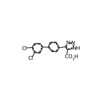 O=C(O)c1[nH]nnc1-c1ccc(-c2ccc(Cl)c(Cl)c2)cc1